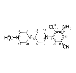 CN1CCN(C2CCN(c3cc(C#N)cc(N)c3Cl)CC2)CC1